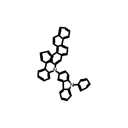 c1ccc(-c2ccccc2N(c2ccc3c(ccc4c5ccccc5ccc34)c2)c2ccc3c(c2)c2ccccc2n3-c2ccccc2)cc1